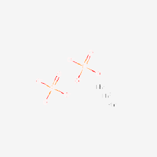 O=P([O-])([O-])[O-].O=P([O-])([O-])[O-].[Rh+2].[Rh+2].[Rh+2]